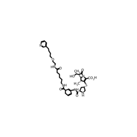 C[C@H]1C(S[C@@H]2CN[C@H](C(=O)NC3=CC(C(=O)NCCCCCC(=O)NCCOCCCCc4cccnc4)CC=C3)C2)=C(C(=O)O)N2C(=O)[C@H]([C@@H](C)O)C12